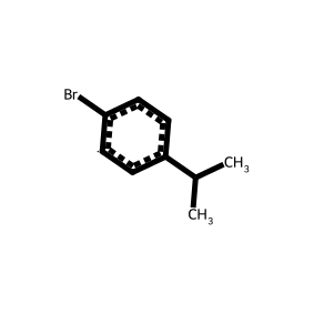 CC(C)c1c[c]c(Br)cc1